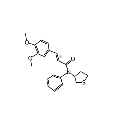 COc1ccc(/C=C/C(=O)N(c2ccccc2)C2CCSC2)cc1OC